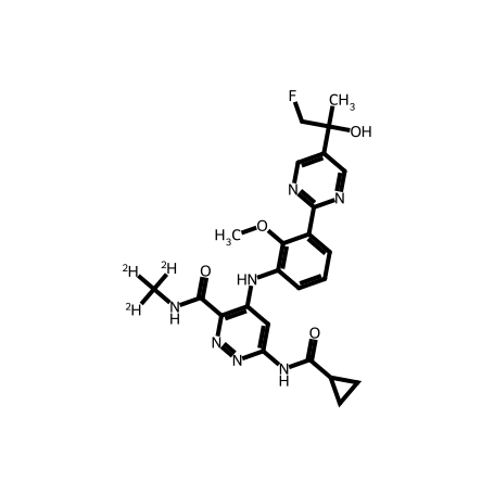 [2H]C([2H])([2H])NC(=O)c1nnc(NC(=O)C2CC2)cc1Nc1cccc(-c2ncc(C(C)(O)CF)cn2)c1OC